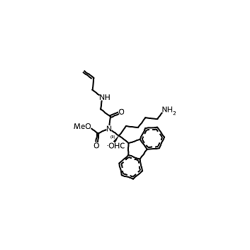 C=CCNCC(=O)N(C(=O)OC)[C@]([C]=O)(CCCCN)C1c2ccccc2-c2ccccc21